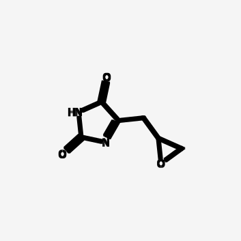 O=C1N=C(CC2CO2)C(=O)N1